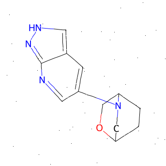 c1nc2n[nH]cc2cc1N1CC2CCC1CO2